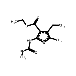 CCOC(=O)c1c(NC(=O)NC)sc(C)c1CC